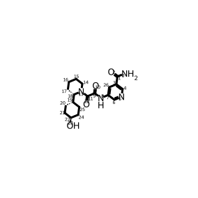 NC(=O)c1cncc(NC(=O)C(=O)N2CCCC[C@H]2[C@H]2CC[C@H](O)CC2)c1